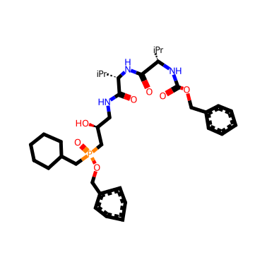 CC(C)[C@H](NC(=O)OCc1ccccc1)C(=O)N[C@H](C(=O)NC[C@H](O)CP(=O)(CC1CCCCC1)OCc1ccccc1)C(C)C